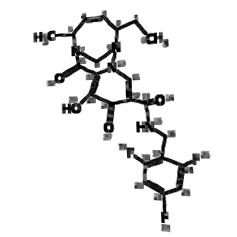 CCC1C=CC(C)N2CN1n1cc(C(=O)NCc3c(F)cc(F)cc3F)c(=O)c(O)c1C2=O